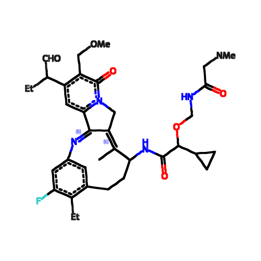 CCc1c(F)cc2cc1CCC(NC(=O)C(OCNC(=O)CNC)C1CC1)/C(C)=C1\Cn3c(cc(C(C=O)CC)c(COC)c3=O)\C1=N\2